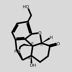 O=C1CC[C@]2(O)C3Cc4ccc(CO)c5c4[C@]2(CCN3)[C@@H]1O5